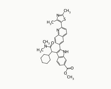 COC(=O)c1ccc2c(C(C(=O)N(C)C)C3CCCCC3)c(-c3ccc4nc(-c5sc(C)nc5C)ccc4c3)[nH]c2c1